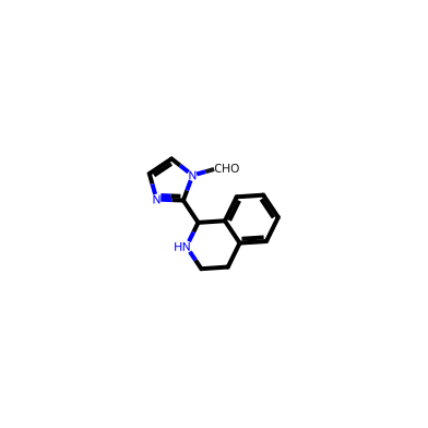 O=Cn1ccnc1C1NCCc2ccccc21